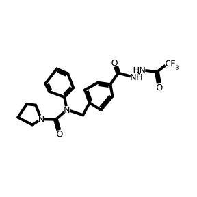 O=C(NNC(=O)C(F)(F)F)c1ccc(CN(C(=O)N2CCCC2)c2ccccc2)cc1